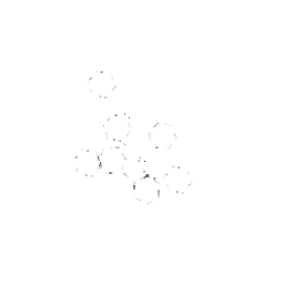 Fc1c(F)c(F)c(-c2cccc(-c3nc(-c4ccccc4)nc(-c4ccccc4)n3)c2-n2c3ccccc3c3ccccc32)c(F)c1F